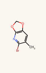 Cc1cc2c(nc1Br)OCO2